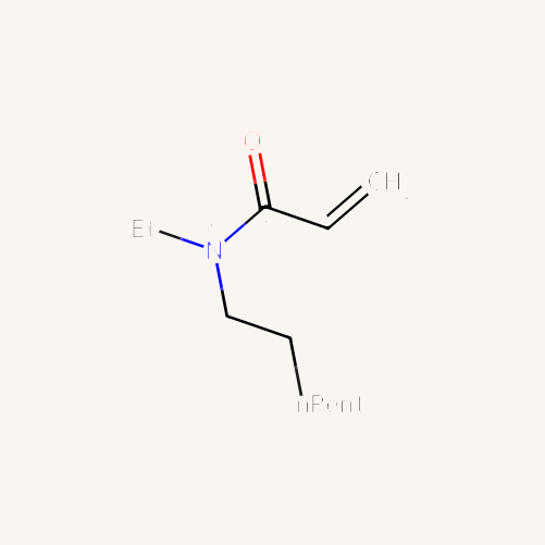 C=CC(=O)N(CC)CCCCCCC